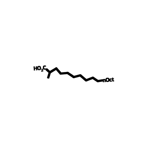 CCCCCCCCCCCCCCCCC(C)C(=O)O